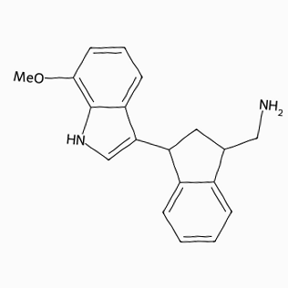 COc1cccc2c(C3CC(CN)c4ccccc43)c[nH]c12